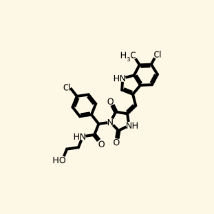 Cc1c(Cl)ccc2c(C=C3NC(=O)N(C(C(=O)NCCO)c4ccc(Cl)cc4)C3=O)c[nH]c12